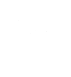 Cc1ccc2c(c1C)c(C(C)(C)C)c(C(=O)CBr)c(=O)n2CO[SiH3]